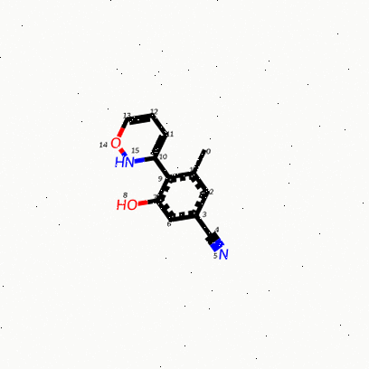 Cc1cc(C#N)cc(O)c1C1=CC=CON1